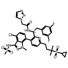 Cn1nc(NS(C)(=O)=O)c2c(Cl)ccc(-c3ccc(CCC(C)(C)S(=O)(=O)C4CC4)nc3[C@H](Cc3cc(F)cc(F)c3)NC(=O)Cn3ccnn3)c21